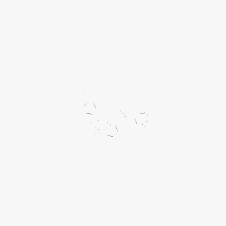 CC(C)(C)c1ccc(S(=O)(=O)Nc2ccc(Cl)c(C3N=C3c3cncnc3)n2)cc1